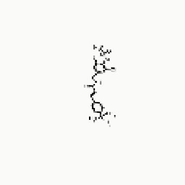 CC(C)(C)c1ccc(C=CC(=O)NCc2cc(Cl)c(NS(C)(=O)=O)c(I)c2)cc1